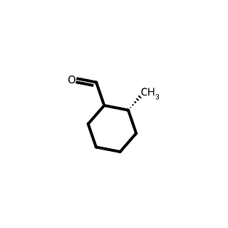 C[C@@H]1CCCCC1C=O